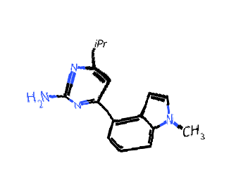 CC(C)c1cc(-c2cccc3c2ccn3C)nc(N)n1